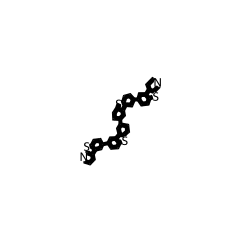 c1cnc2sc3ccc(-c4ccc5sc6ccc(-c7ccc8sc9ccc(-c%10ccc%11sc%12cnccc%12c%11c%10)cc9c8c7)cc6c5c4)cc3c2c1